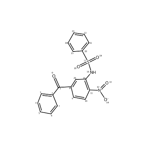 O=C(c1ccccc1)c1ccc([N+](=O)[O-])c(NS(=O)(=O)c2ccccc2)c1